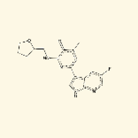 Cn1cc(-c2c[nH]c3ncc(F)cc23)nc(NC[C@H]2CCCO2)c1=O